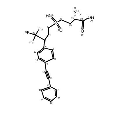 N=S(=O)(CCC(c1ccc(C#Cc2ccccc2)cc1)C(F)(F)F)CC[C@H](N)C(=O)O